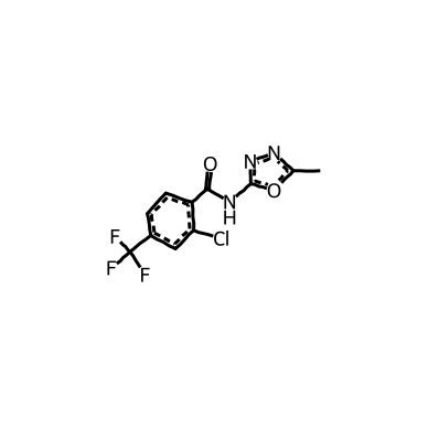 Cc1nnc(NC(=O)c2ccc(C(F)(F)F)cc2Cl)o1